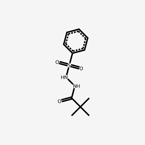 CC(C)(C)C(=O)NNS(=O)(=O)c1ccccc1